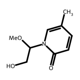 COC(CO)n1cc(C)ccc1=O